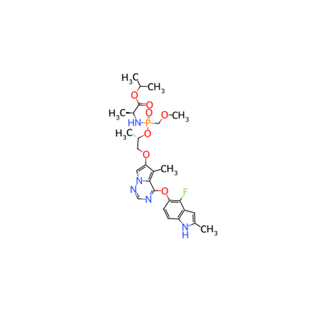 COCP(=O)(N[C@@H](C)C(=O)OC(C)C)O[C@@H](C)COc1cn2ncnc(Oc3ccc4[nH]c(C)cc4c3F)c2c1C